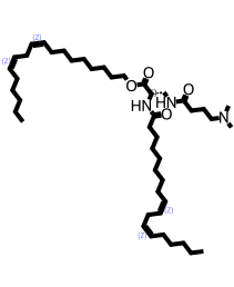 CCCCC/C=C\C/C=C\CCCCCCCCOC(=O)[C@H](CNC(=O)CCCN(C)C)NC(=O)CCCCCCC/C=C\C/C=C\CCCCC